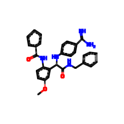 COc1ccc(NC(=O)c2ccccc2)c(C(Nc2ccc(C(=N)N)cc2)C(=O)NCc2ccccc2)c1